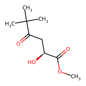 COC(=O)[C@@H](O)CC(=O)C(C)(C)C